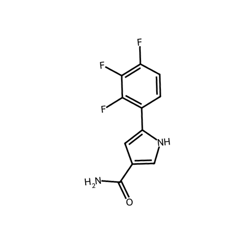 NC(=O)c1c[nH]c(-c2ccc(F)c(F)c2F)c1